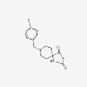 O=C1[N]C(=O)C2(CCN(Cc3ccc(F)cc3)CC2)N1